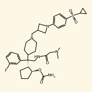 CN(C)CC(=O)NCC(c1cccc(F)c1)(C1CCN(CC2CN(c3ccc(S(=O)(=O)C4CC4)cc3)C2)CC1)[C@H]1CCC[C@@H]1OC(N)=O